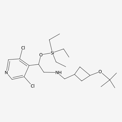 CC[Si](CC)(CC)OC(CNCC1CC(OC(C)(C)C)C1)c1c(Cl)cncc1Cl